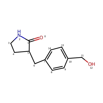 O=C1NCCC1Cc1ccc(CO)cc1